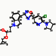 CCOC(=O)CCn1ccc2c(-c3noc(-c4cnc(N5CCCC5)c(Cl)c4)n3)cccc21